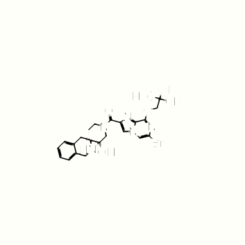 CC(C)(O)COc1nc(Br)cn2cc(C(=O)N3CC[C@]4(Cc5ccccc5CN4)[C@H](O)C3)nc12